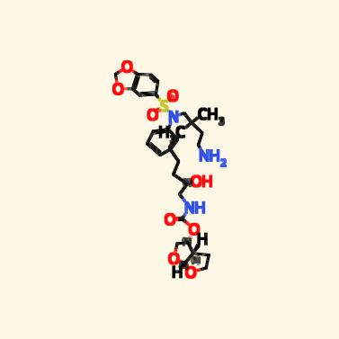 CC(C)(CCN)CN(c1cccc(CC[C@H](O)CNC(=O)O[C@H]2CO[C@H]3OCC[C@H]32)c1)S(=O)(=O)c1ccc2c(c1)OCO2